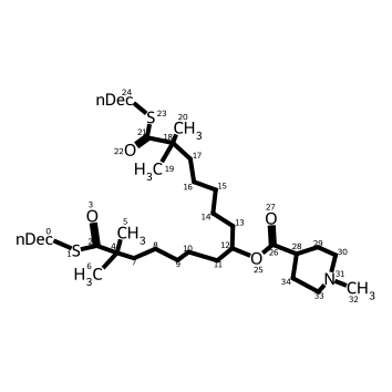 CCCCCCCCCCSC(=O)C(C)(C)CCCCCC(CCCCCC(C)(C)C(=O)SCCCCCCCCCC)OC(=O)C1CCN(C)CC1